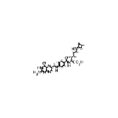 Nc1nc2ncc(CNc3ccc(C(=O)N[C@@H](CCCCNC4CCC4)C(=O)O)cc3)nc2c(=O)[nH]1